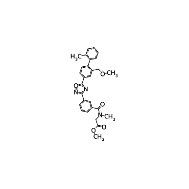 COCc1cc(-c2nc(-c3cccc(C(=O)N(C)CC(=O)OC)c3)no2)ccc1-c1ccccc1C